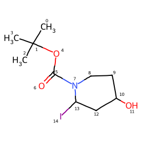 CC(C)(C)OC(=O)N1CCC(O)CC1I